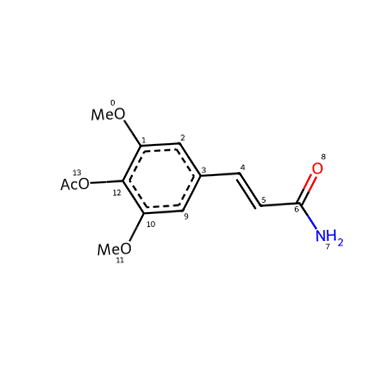 COc1cc(/C=C/C(N)=O)cc(OC)c1OC(C)=O